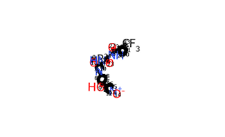 CCCO[C@H]1CN(C2CCC(O)(c3cc[n+]([O-])cc3)CC2)C[C@@H]1NC(=O)CNC(=O)c1cccc(C(F)(F)F)c1